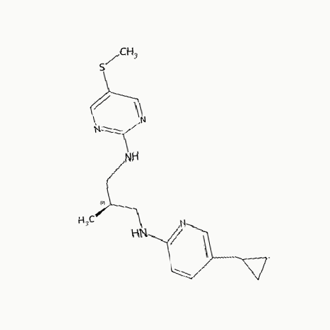 CSc1cnc(NC[C@H](C)CNc2ccc(C3[CH]C3)cn2)nc1